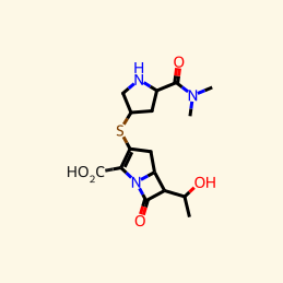 CC(O)C1C(=O)N2C(C(=O)O)=C(SC3CNC(C(=O)N(C)C)C3)CC12